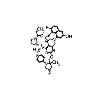 C#Cc1c(F)ccc2cc(O)cc(N3CCc4c(nc(OC[C@]5(C)C[C@@H](F)CN5c5ccncc5)nc4N(C)C[C@@H]4CCCN4C(=O)C=C)C3)c12